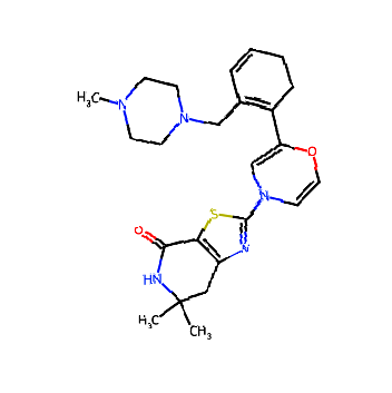 CN1CCN(CC2=C(C3=CN(c4nc5c(s4)C(=O)NC(C)(C)C5)C=CO3)CCC=C2)CC1